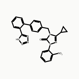 O=c1n(-c2ccccc2[N+](=O)[O-])nc(C2CC2)n1Cc1ccc(-c2ccccc2-c2nnn[nH]2)cc1